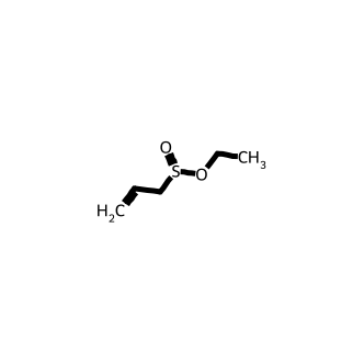 C=CCS(=O)OCC